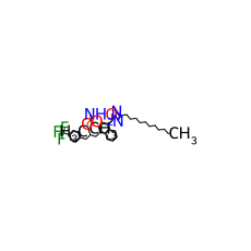 CCCCCCCCCCCc1noc(-c2ccc(CC(Cc3ccc(C(F)(F)F)cc3)C(C)(C)OC(N)=O)c3ccccc23)n1